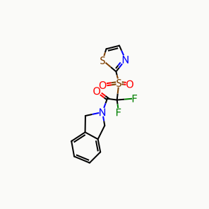 O=C(N1Cc2ccccc2C1)C(F)(F)S(=O)(=O)c1nccs1